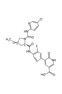 CO[C@@H]1C[C@H](C(=O)Nc2ccc(-c3cc(C(=O)O)c[nH]c3=O)cc2F)N(C(=O)Nc2ccc(Cl)cn2)C1